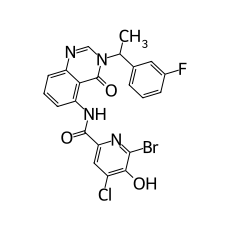 CC(c1cccc(F)c1)n1cnc2cccc(NC(=O)c3cc(Cl)c(O)c(Br)n3)c2c1=O